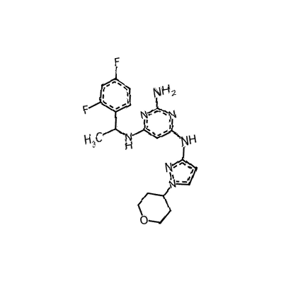 CC(Nc1cc(Nc2ccn(C3CCOCC3)n2)nc(N)n1)c1ccc(F)cc1F